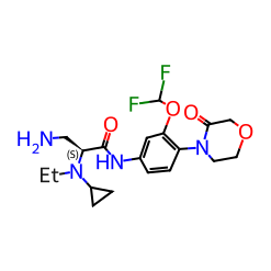 CCN(C1CC1)[C@@H](CN)C(=O)Nc1ccc(N2CCOCC2=O)c(OC(F)F)c1